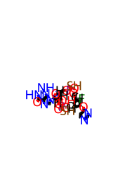 Nc1nc2c(ncn2[C@@H]2O[C@@H]3COP(=O)(S)OC[C@@H]4[C@@H](COP(=O)(S)O[C@@H]2[C@@H]3O)C[C@@H](Oc2ccncn2)[C@@H]4F)c(=O)[nH]1